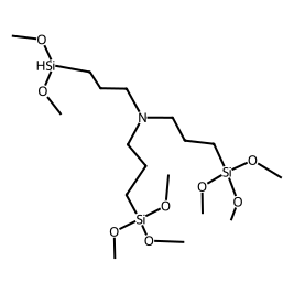 CO[SiH](CCCN(CCC[Si](OC)(OC)OC)CCC[Si](OC)(OC)OC)OC